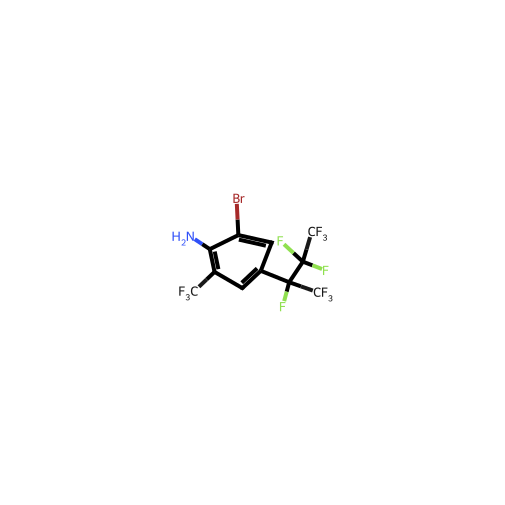 Nc1c(Br)cc(C(F)(C(F)(F)F)C(F)(F)C(F)(F)F)cc1C(F)(F)F